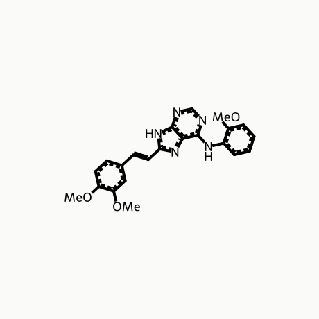 COc1ccccc1Nc1ncnc2[nH]c(/C=C/c3ccc(OC)c(OC)c3)nc12